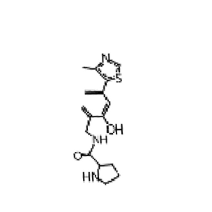 C=C(CNC(=O)C1CCCN1)/C(O)=C\C(=C)c1scnc1C